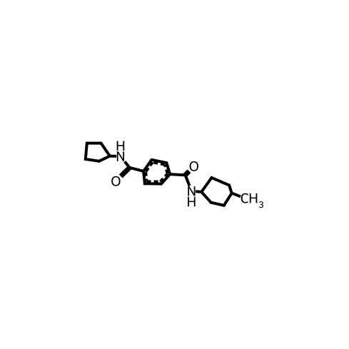 CC1CCC(NC(=O)c2ccc(C(=O)NC3CCCC3)cc2)CC1